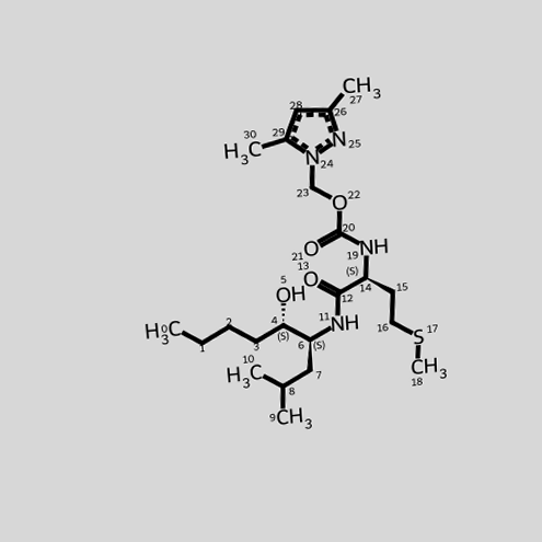 CCCC[C@H](O)[C@H](CC(C)C)NC(=O)[C@H](CCSC)NC(=O)OCn1nc(C)cc1C